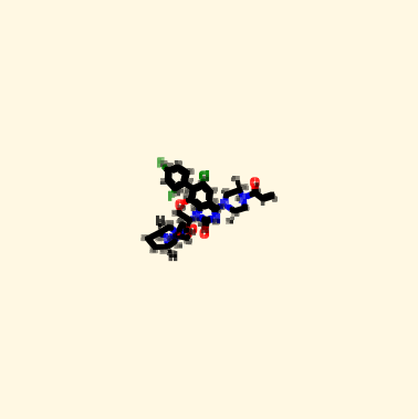 C=CC(=O)N1C[C@H](C)N(c2nc(=O)n3c4c(c(-c5ccc(F)cc5F)c(Cl)cc24)OC[C@@H]3CN2C[C@H]3CC[C@@H](C2)N3C2COC2)C[C@H]1C